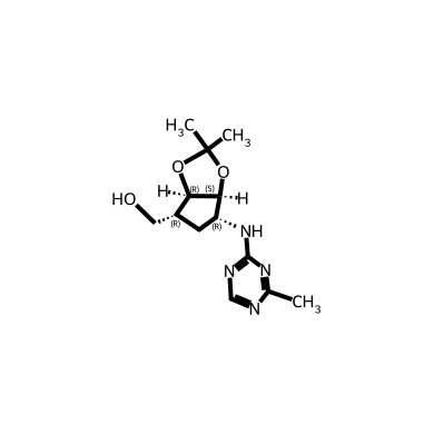 Cc1ncnc(N[C@@H]2C[C@H](CO)[C@H]3OC(C)(C)O[C@H]32)n1